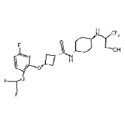 O=C(N[C@H]1CC[C@H](NC(CO)C(F)(F)F)CC1)[C@H]1C[C@H](Oc2cc(F)ccc2OC(F)F)C1